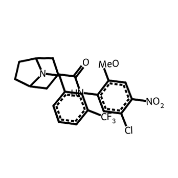 COc1cc([N+](=O)[O-])c(Cl)cc1NC(=O)C1CC2CCC(C1)N2Cc1cccc(C(F)(F)F)c1